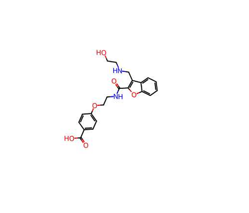 O=C(O)c1ccc(OCCNC(=O)c2oc3ccccc3c2CNCCO)cc1